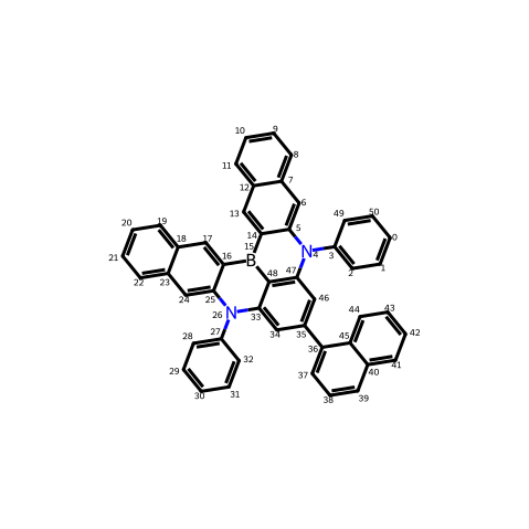 c1ccc(N2c3cc4ccccc4cc3B3c4cc5ccccc5cc4N(c4ccccc4)c4cc(-c5cccc6ccccc56)cc2c43)cc1